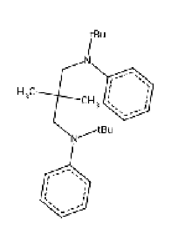 CC(C)(CN(c1ccccc1)C(C)(C)C)CN(c1ccccc1)C(C)(C)C